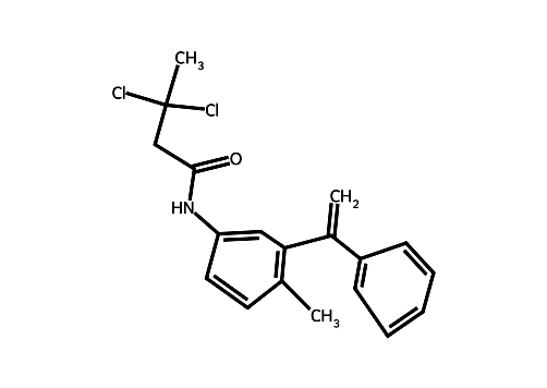 C=C(c1ccccc1)c1cc(NC(=O)CC(C)(Cl)Cl)ccc1C